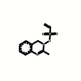 C=CS(=O)(=O)ON1Cc2ccccc2N=C1C